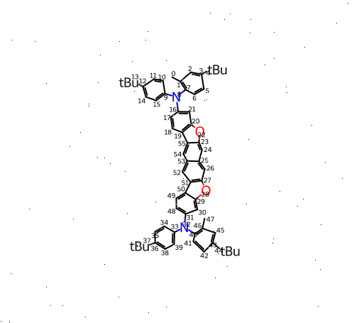 Cc1cc(C(C)(C)C)ccc1N(c1ccc(C(C)(C)C)cc1)c1ccc2c(c1)oc1cc3cc4oc5cc(N(c6ccc(C(C)(C)C)cc6)c6ccc(C(C)(C)C)cc6C)ccc5c4cc3cc12